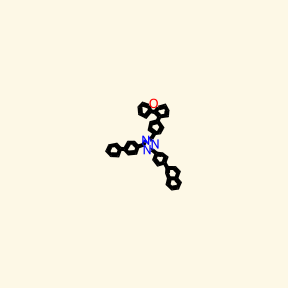 c1ccc(-c2ccc(-c3nc(-c4ccc(-c5ccc6ccccc6c5)cc4)nc(-c4ccc(-c5cccc6oc7ccccc7c56)cc4)n3)cc2)cc1